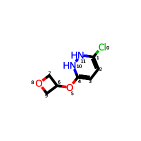 ClC1=CC=C(OC2COC2)NN1